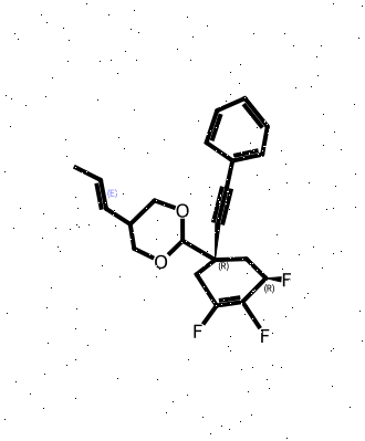 C/C=C/C1COC([C@@]2(C#Cc3ccccc3)CC(F)=C(F)[C@H](F)C2)OC1